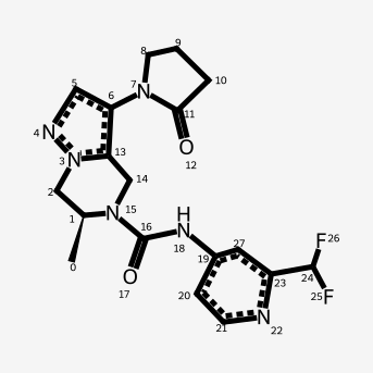 C[C@H]1Cn2ncc(N3CCCC3=O)c2CN1C(=O)Nc1ccnc(C(F)F)c1